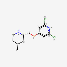 C[C@H]1CCN[C@H](COc2cc(Cl)nc(Cl)c2)C1